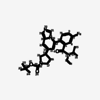 CCN(C(=O)c1cc(F)ccc1-c1cc(C2CCN(C(=O)OC(C)(C)C)C2)cc2cncn12)C(C)C